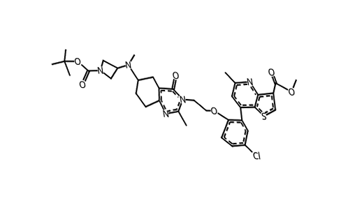 COC(=O)c1csc2c(-c3cc(Cl)ccc3OCCn3c(C)nc4c(c3=O)CC(N(C)C3CN(C(=O)OC(C)(C)C)C3)CC4)cc(C)nc12